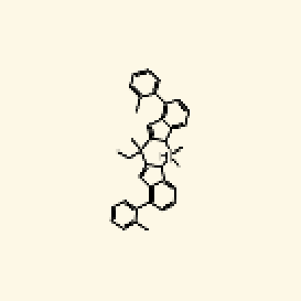 CCC1(C)C2=Cc3c(-c4ccccc4C)cccc3[CH]2[Hf]([CH3])([CH3])[CH]2C1=Cc1c(-c3ccccc3C)cccc12